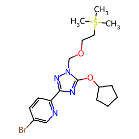 CS(C)(C)CCOCn1nc(-c2ccc(Br)cn2)nc1OC1CCCC1